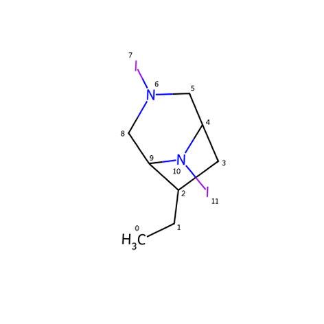 CCC1CC2CN(I)CC1N2I